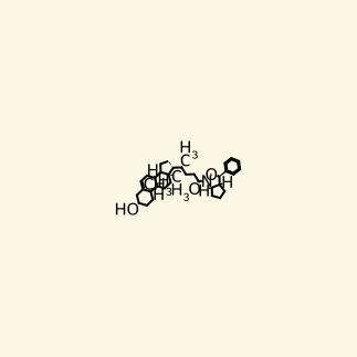 C[C@H](CCC(=O)N1O[C@@H](c2ccccc2)[C@@H]2CCC[C@@H]21)[C@H]1CC[C@H]2[C@@H]3CC=C4C[C@@H](O)CC[C@]4(C)[C@H]3CC[C@]12C